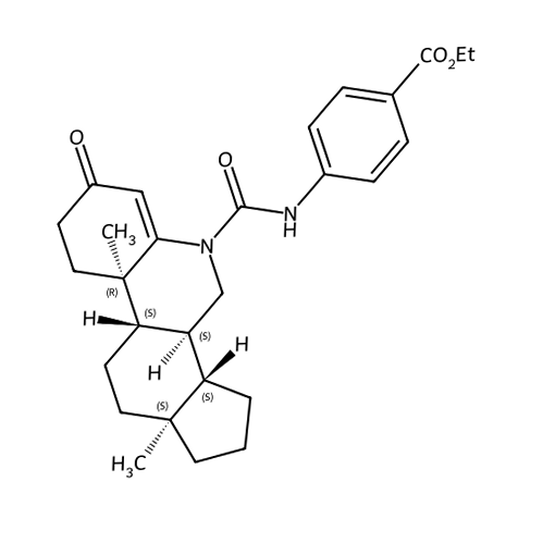 CCOC(=O)c1ccc(NC(=O)N2C[C@H]3[C@@H]4CCC[C@@]4(C)CC[C@@H]3[C@@]3(C)CCC(=O)C=C23)cc1